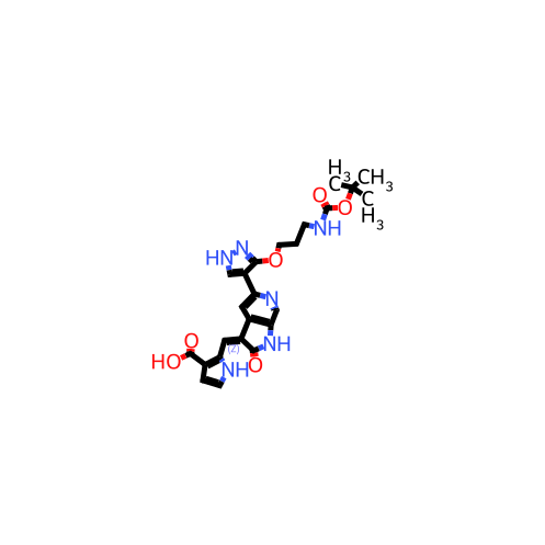 CC(C)(C)OC(=O)NCCCOc1n[nH]cc1-c1cc2c(cn1)NC(=O)/C2=C\c1[nH]ccc1C(=O)O